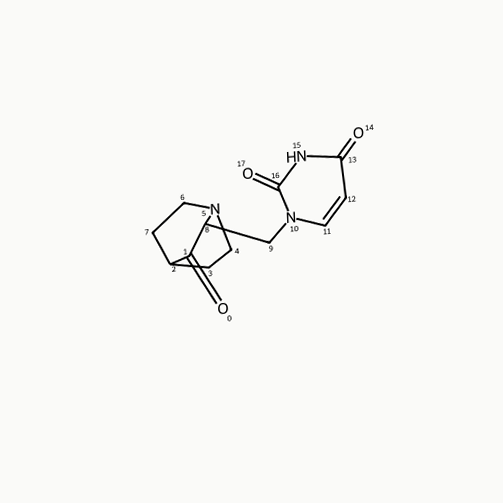 O=C1C2CCN(CC2)C1Cn1ccc(=O)[nH]c1=O